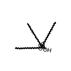 CCCCCCCCCCCCCCCCCCCCCCOc1cc(CO)cc(OCCCCCCCCCCCCCCCCCCCCCC)c1OCCCCCCCCCCCCCCCCCCCCCC